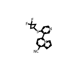 N#Cc1ccc(-c2cnccc2SC2CC(F)(F)C2)n2cccc12